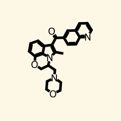 Cc1c(C(=O)c2ccc3ncccc3c2)c2cccc3c2n1C(CN1CCOCC1)CO3